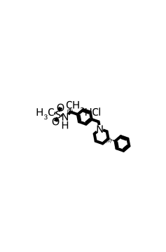 C[C@@H](NS(C)(=O)=O)c1ccc(CN2CCC[C@@H](c3ccccc3)C2)cc1.Cl